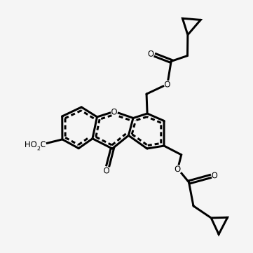 O=C(CC1CC1)OCc1cc(COC(=O)CC2CC2)c2oc3ccc(C(=O)O)cc3c(=O)c2c1